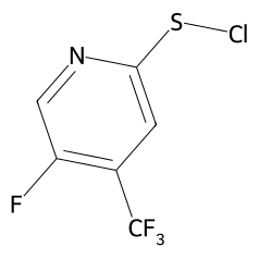 Fc1cnc(SCl)cc1C(F)(F)F